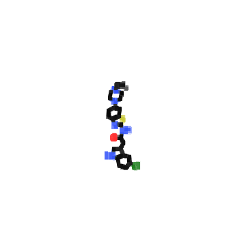 CN1CCN(c2ccc3nc(NC(=O)Cc4c[nH]c5ccc(Cl)cc45)sc3c2)CC1